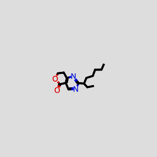 CCCCCC(CC)c1ncc2c(n1)CCOC2=O